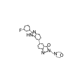 O=c1c2cc(-c3ccc4nc(-c5cccc(F)c5)[nH]c4c3)ccc2ncn1CCN1CCOCC1